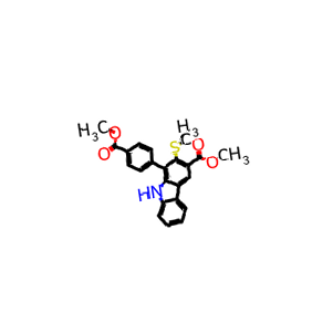 COC(=O)c1ccc(-c2c(SC)c(C(=O)OC)cc3c2[nH]c2ccccc23)cc1